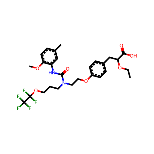 CCOC(Cc1ccc(OCCN(CCCOC(F)(F)C(F)(F)F)C(=O)Nc2cc(C)ccc2OC)cc1)C(=O)O